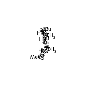 COC(=O)c1ccc(NC(=O)c2cc(-c3ccc(NC(=O)c4cc(NC(=O)OC(C)(C)C)cn4C)cc3)cn2C)cc1